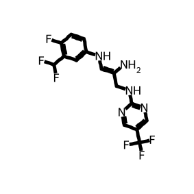 N/C(=C\Nc1ccc(F)c(C(F)F)c1)CNc1ncc(C(F)(F)F)cn1